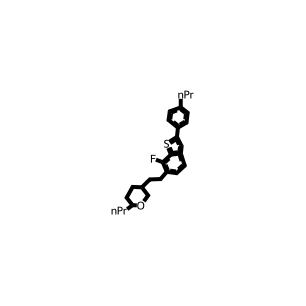 CCCc1ccc(-c2cc3ccc(CCC4CCC(CCC)OC4)c(F)c3s2)cc1